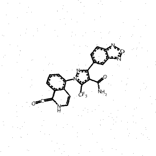 NC(=O)c1c(-c2ccc3nonc3c2)nn(-c2cccc3c2C=CNC3=C=O)c1C(F)(F)F